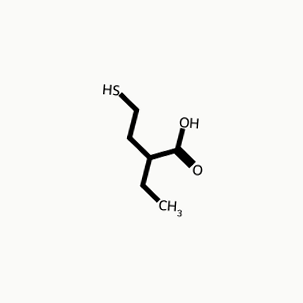 CCC(CCS)C(=O)O